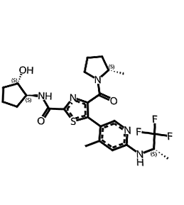 Cc1cc(N[C@@H](C)C(F)(F)F)ncc1-c1sc(C(=O)N[C@H]2CCC[C@@H]2O)nc1C(=O)N1CCC[C@@H]1C